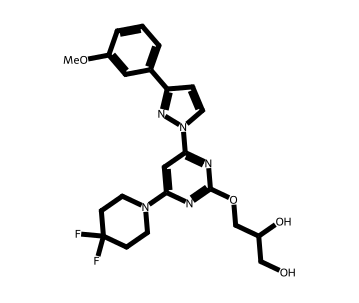 COc1cccc(-c2ccn(-c3cc(N4CCC(F)(F)CC4)nc(OCC(O)CO)n3)n2)c1